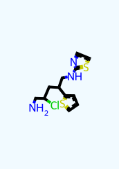 NCC(Cl)CC(CNc1nccs1)c1cccs1